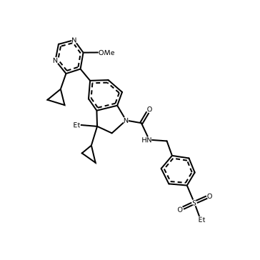 CCC1(C2CC2)CN(C(=O)NCc2ccc(S(=O)(=O)CC)cc2)c2ccc(-c3c(OC)ncnc3C3CC3)cc21